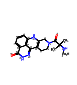 CC(C)(NC(=O)O)C(=O)N1CCC2=C(C1)Nc1cccc3c(=O)[nH]nc2c13